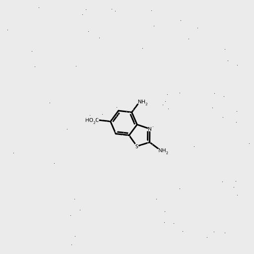 Nc1nc2c(N)cc(C(=O)O)cc2s1